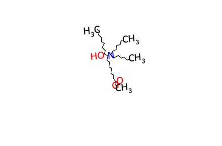 CCCCCCCCC(O)C(CCCCCCCC(=O)OC)N(CCCCCC)CCCCCC